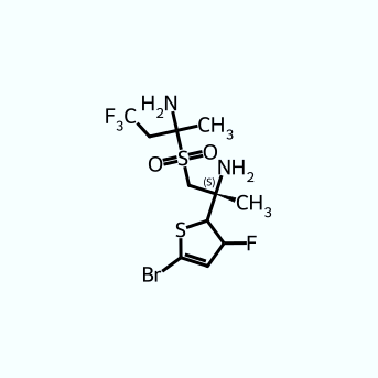 CC(N)(CC(F)(F)F)S(=O)(=O)C[C@](C)(N)C1SC(Br)=CC1F